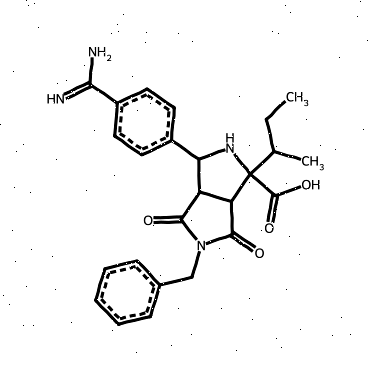 CCC(C)C1(C(=O)O)NC(c2ccc(C(=N)N)cc2)C2C(=O)N(Cc3ccccc3)C(=O)C21